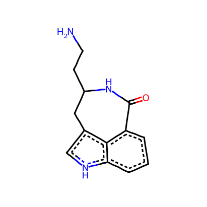 NCCC1Cc2c[nH]c3cccc(c23)C(=O)N1